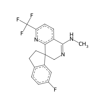 CNC1=NCC2(CCc3ccc(F)cc32)c2nc(C(F)(F)F)ccc21